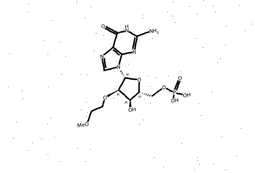 COCCO[C@@H]1[C@H](O)[C@@H](COP(=O)(O)O)O[C@H]1n1cnc2c(=O)[nH]c(N)nc21